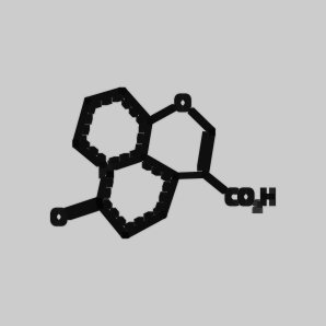 O=C(O)C1=COc2cccn3c(=O)ccc1c23